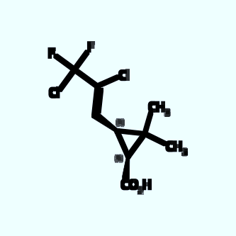 CC1(C)[C@H](C=C(Cl)C(F)(F)Cl)[C@@H]1C(=O)O